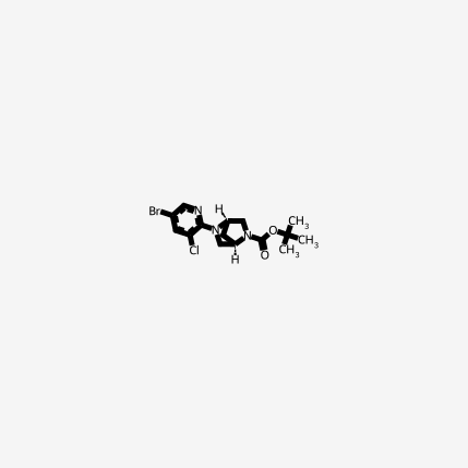 CC(C)(C)OC(=O)N1C[C@H]2C[C@@H]1CN2c1ncc(Br)cc1Cl